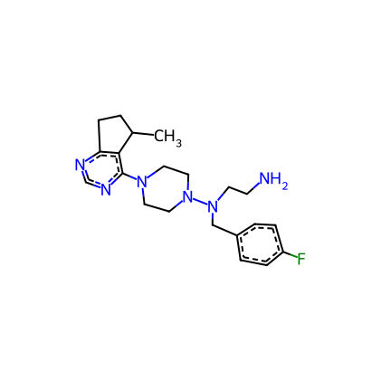 CC1CCc2ncnc(N3CCN(N(CCN)Cc4ccc(F)cc4)CC3)c21